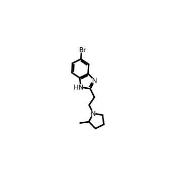 CC1CCCN1CCc1nc2cc(Br)ccc2[nH]1